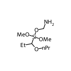 CCCOC(CC)[Si](OC)(OC)OCN